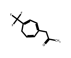 CC(=O)CC1=CC=C(C(F)(F)F)CC=C1